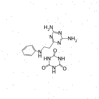 Nc1nc(N)nc(CCNc2ccccc2)n1.O=c1[nH]c(=O)[nH]c(=O)[nH]1